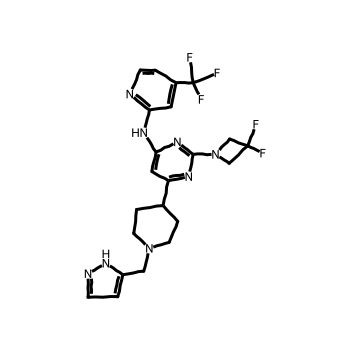 FC1(F)CN(c2nc(Nc3cc(C(F)(F)F)ccn3)cc(C3CCN(Cc4ccn[nH]4)CC3)n2)C1